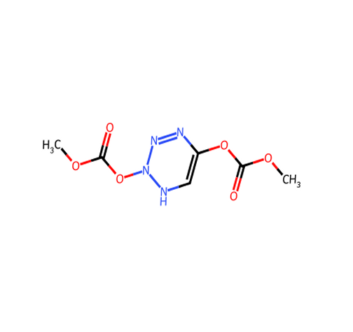 COC(=O)OC1=CNN(OC(=O)OC)N=N1